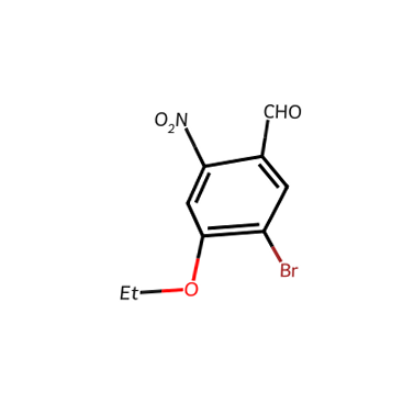 CCOc1cc([N+](=O)[O-])c(C=O)cc1Br